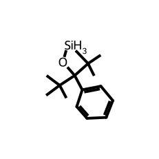 CC(C)(C)C(O[SiH3])(c1ccccc1)C(C)(C)C